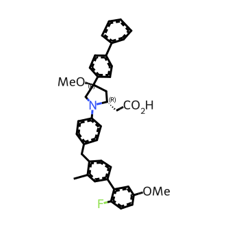 COc1ccc(F)c(-c2ccc(Cc3ccc(N4C[C@](OC)(c5ccc(-c6ccccc6)cc5)C[C@@H]4CC(=O)O)cc3)c(C)c2)c1